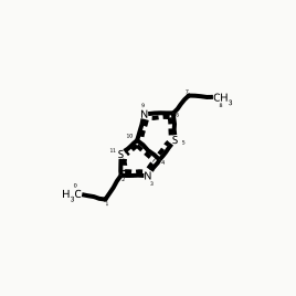 CCc1nc2sc(CC)nc2s1